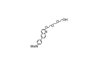 CNc1ccc(-c2ccc3nc(OCCOCCOCCO)ccc3c2)cc1